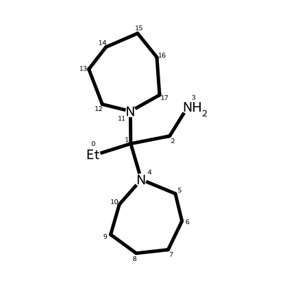 [CH2]CC(CN)(N1CCCCCC1)N1CCCCCC1